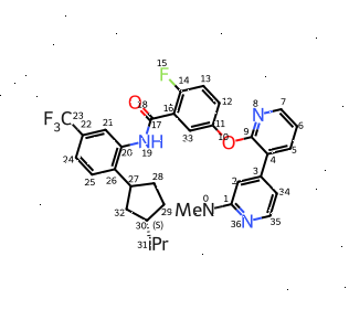 CNc1cc(-c2cccnc2Oc2ccc(F)c(C(=O)Nc3cc(C(F)(F)F)ccc3C3CC[C@H](C(C)C)C3)c2)ccn1